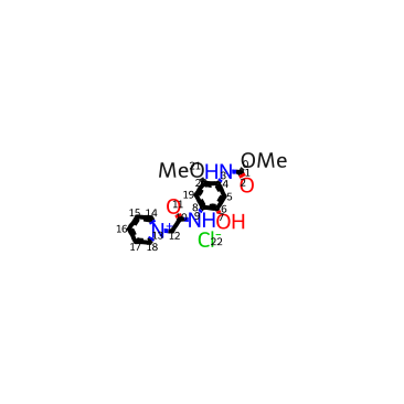 COC(=O)Nc1cc(O)c(NC(=O)C[n+]2ccccc2)cc1OC.[Cl-]